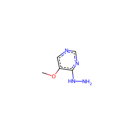 COc1cncnc1NN